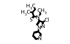 CCC(C)C(=S)N(CC)c1cn(-c2cccnc2)nc1Cl